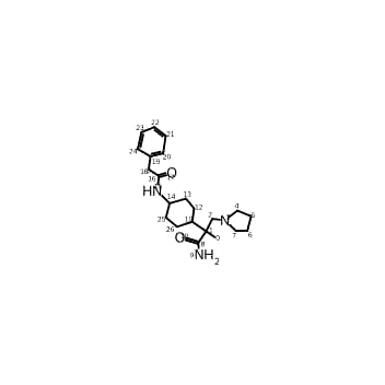 CC(CN1CCCC1)(C(N)=O)C1CCC(NC(=O)[CH]c2ccccc2)CC1